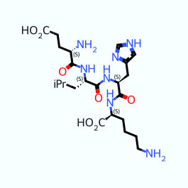 CC(C)C[C@H](NC(=O)[C@@H](N)CCC(=O)O)C(=O)N[C@@H](Cc1c[nH]cn1)C(=O)N[C@@H](CCCCN)C(=O)O